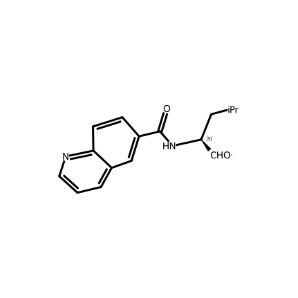 CC(C)C[C@@H]([C]=O)NC(=O)c1ccc2ncccc2c1